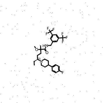 CC[C@@H](CCC(C)(OC)C(=O)NCc1cc(C(F)(F)F)cc(C(F)(F)F)c1)N1CCC(c2ccc(F)cc2)CC1